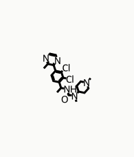 Cc1nccnc1-c1ccc(C(C)NC(=O)N(C)C2CCN(C)CC2)c(Cl)c1Cl